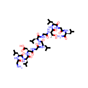 CC(C)C[C@H](NC(=O)CNC(=O)[C@H](CC(C)C)NC(=O)[C@@H](NC(=O)CNC(=O)[C@H](CC(C)C)NC(=O)[C@H](CC(C)C)NC(=O)CNC(=O)[C@H](CC(=O)O)NC(=O)[C@H](CC(C)C)NC(=O)[C@H](CC(C)C)NC(=O)CN)[C@@H](C)O)C(N)=O